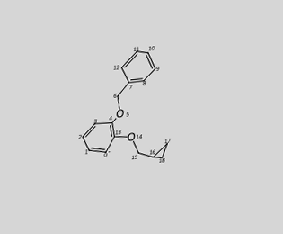 [c]1cccc(OCc2ccccc2)c1OCC1CC1